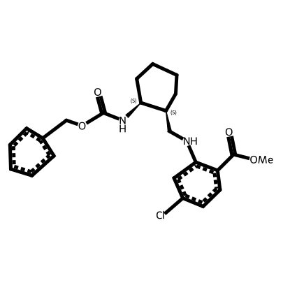 COC(=O)c1ccc(Cl)cc1NC[C@@H]1CCCC[C@@H]1NC(=O)OCc1ccccc1